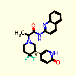 CC(C(=O)Nc1ccc2ccccc2n1)N1CCC(F)(F)[C@@H](c2ccc(=O)[nH]c2)C1